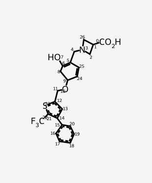 O=C(O)C1CN(CC2=C(O)CC(OCc3cc(-c4ccccc4)c(C(F)(F)F)s3)C=C2)C1